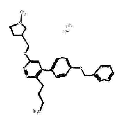 CCCCc1nnc(OCC2CCN(C)C2)cc1-c1ccc(OCc2ccccc2)cc1.Cl.Cl